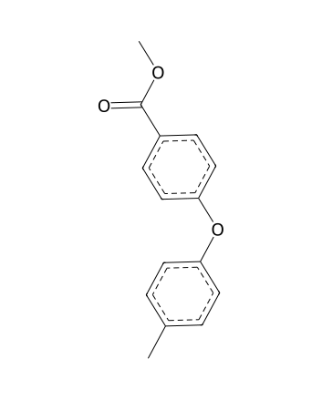 COC(=O)c1ccc(Oc2ccc(C)cc2)cc1